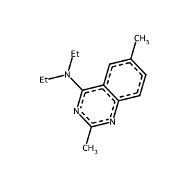 CCN(CC)c1nc(C)nc2ccc(C)cc12